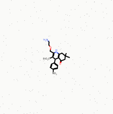 CCOC(=O)C1=C(COCCN)NC2=C(C(=O)CC(C)(C)C2)C1c1ccc([N+](=O)[O-])cc1